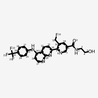 O=C(NCCO)c1cnc(-c2ccc3c(Nc4ccc(C(F)(F)F)cc4)ccnc3n2)c(CF)c1